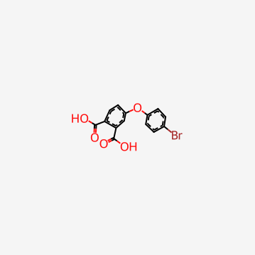 O=C(O)c1ccc(Oc2ccc(Br)cc2)cc1C(=O)O